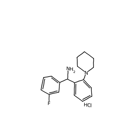 Cl.NC(c1cccc(F)c1)c1ccccc1N1CCCCC1